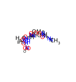 COc1cc2c(cc1OCCCOc1cc3c(cc1OC)C(=O)N1C=C(c4ccc(N5CCN(C)CC5)cc4)C[C@H]1C=N3)N=C[C@@H]1CC(c3ccc(NC(=O)[C@H](C)NC(=O)C(NC(=O)CCCCCN4C(=O)CC(C5CCCCCC5)C4=O)C(C)C)cc3)=CN1C2=O